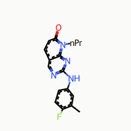 CCCn1c(=O)ccc2cnc(Nc3ccc(F)c(C)c3)nc21